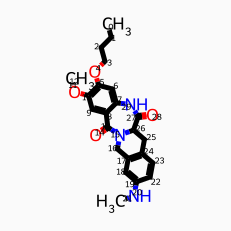 CCCCOc1cc2c(cc1OC)C(=O)N1Cc3cc(NC)ccc3CC1C(=O)N2